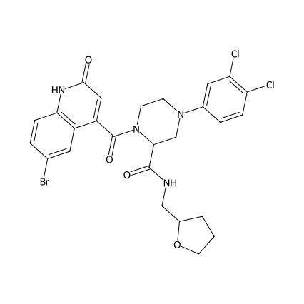 O=C(NCC1CCCO1)C1CN(c2ccc(Cl)c(Cl)c2)CCN1C(=O)c1cc(=O)[nH]c2ccc(Br)cc12